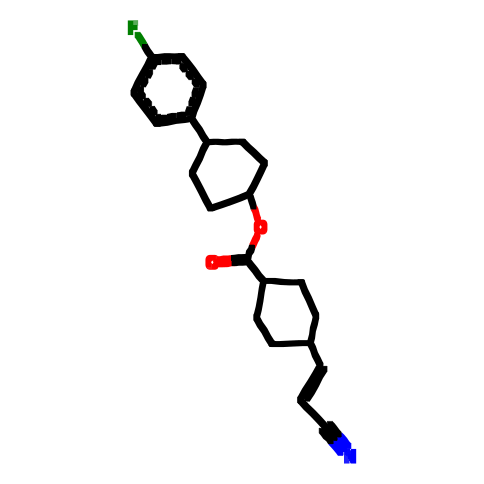 N#C/C=C/C1CCC(C(=O)OC2CCC(c3ccc(F)cc3)CC2)CC1